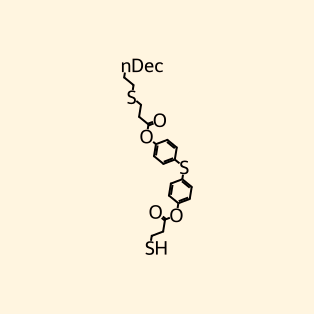 CCCCCCCCCCCCSCCC(=O)Oc1ccc(Sc2ccc(OC(=O)CCS)cc2)cc1